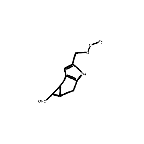 CCOOCC1=CC2=C(B1)CC1C(C=O)C21